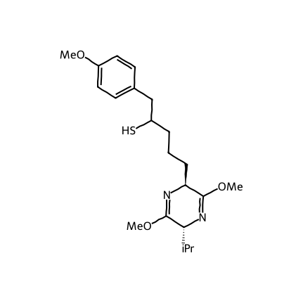 COC1=N[C@H](C(C)C)C(OC)=N[C@H]1CCCC(S)Cc1ccc(OC)cc1